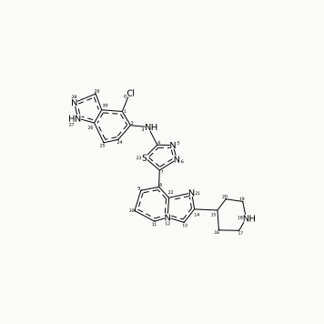 Clc1c(Nc2nnc(-c3cccn4cc(C5CCNCC5)nc34)s2)ccc2[nH]ncc12